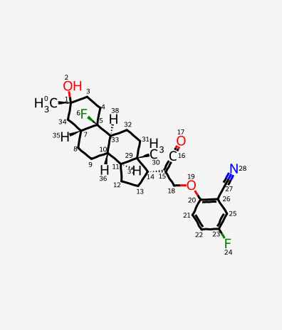 C[C@@]1(O)CC[C@@]2(F)[C@H](CC[C@H]3[C@@H]4CC[C@@H](C(=C=O)COc5ccc(F)cc5C#N)[C@@]4(C)CC[C@@H]32)C1